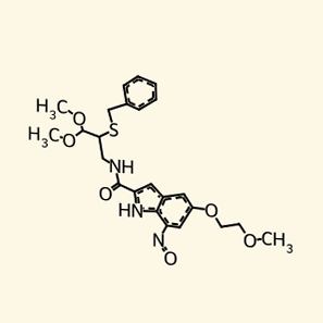 COCCOc1cc(N=O)c2[nH]c(C(=O)NCC(SCc3ccccc3)C(OC)OC)cc2c1